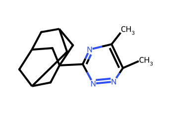 Cc1nnc(C23CC4CC(CC(C4)C2)C3)nc1C